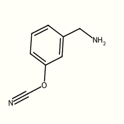 N#COc1cccc(CN)c1